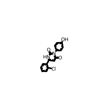 O=c1cc(-c2ccccc2Cl)[nH]c(=O)n1-c1ccc(O)cc1